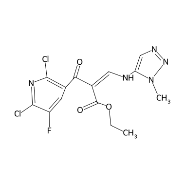 CCOC(=O)C(=CNc1cnnn1C)C(=O)c1cc(F)c(Cl)nc1Cl